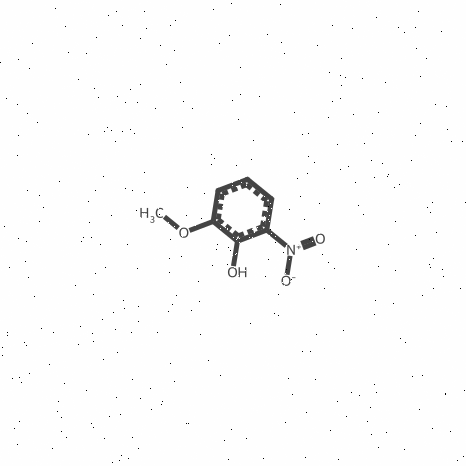 COc1cccc([N+](=O)[O-])c1O